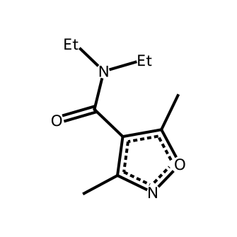 CCN(CC)C(=O)c1c(C)noc1C